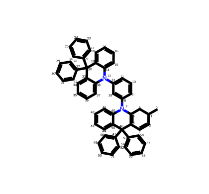 CC1C=CC2=C(C1)N(c1cccc(N3c4ccccc4C(c4ccccc4)(c4ccccc4)c4ccccc43)c1)c1ccccc1C2(c1ccccc1)c1ccccc1